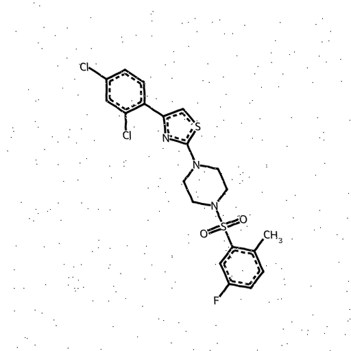 Cc1ccc(F)cc1S(=O)(=O)N1CCN(c2nc(-c3ccc(Cl)cc3Cl)cs2)CC1